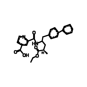 CCOC(=O)[C@H](C)CC(Cc1ccc(-c2ccccc2)cc1)NC(=O)c1cc(C(=O)O)ccn1